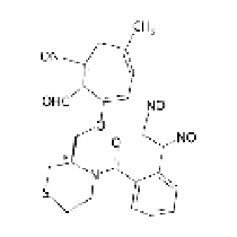 CC1=CC=C(OC[C@@H]2CSCCN2C(=O)c2ccccc2C(CN=O)N=O)C(C=O)=C(N=O)C1